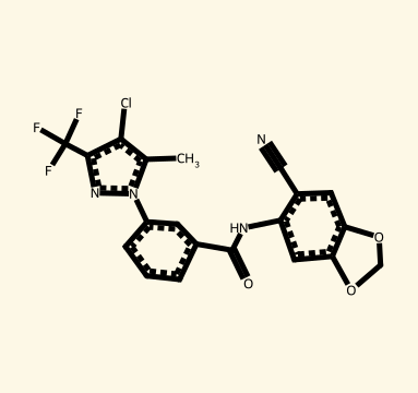 Cc1c(Cl)c(C(F)(F)F)nn1-c1cccc(C(=O)Nc2cc3c(cc2C#N)OCO3)c1